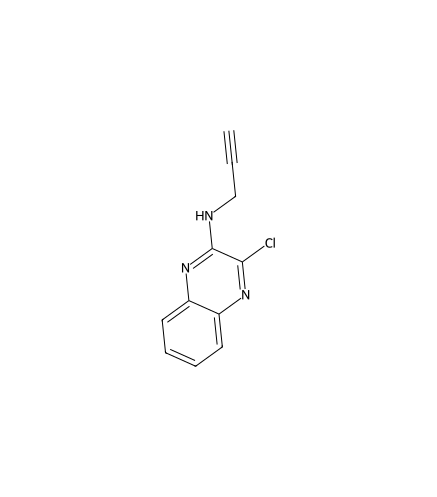 C#CCNc1nc2ccccc2nc1Cl